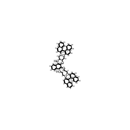 OCCOc1ccc2ccccc2c1-c1c(OCCOc2cc3ccccc3cc2OCCOc2ccc3ccccc3c2-c2c(OCCO)ccc3ccccc23)ccc2ccccc12